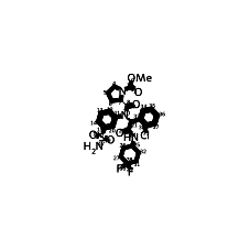 COC(=O)N1CCC[C@H]1C(=O)N(c1cccc(S(N)(=O)=O)c1)[C@H](C(=O)NC1CCC(F)(F)CC1)c1ccccc1Cl